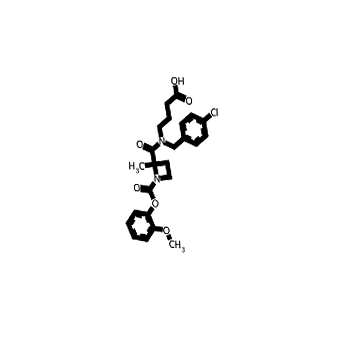 COc1ccccc1OC(=O)N1CCC1(C)C(=O)N(CCCC(=O)O)Cc1ccc(Cl)cc1